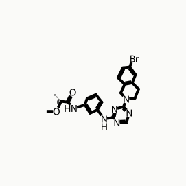 CO[C@H](C)C(=O)Nc1cccc(Nc2ncnc(N3CCc4cc(Br)ccc4C3)n2)c1